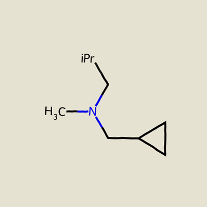 CC(C)CN(C)CC1CC1